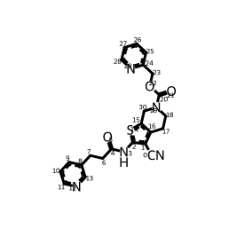 N#Cc1c(NC(=O)CCc2cccnc2)sc2c1CCN(C(=O)OCc1ccccn1)C2